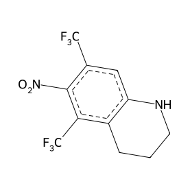 O=[N+]([O-])c1c(C(F)(F)F)cc2c(c1C(F)(F)F)CCCN2